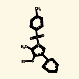 CCSc1c(-c2ccccc2)cn(S(=O)(=O)c2ccc(C)cc2)c1C